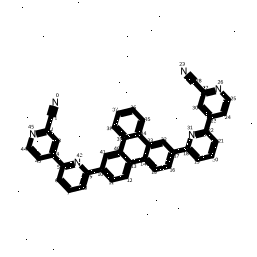 N#Cc1cc(-c2cccc(-c3ccc4c5ccc(-c6cccc(-c7ccnc(C#N)c7)n6)cc5c5ccccc5c4c3)n2)ccn1